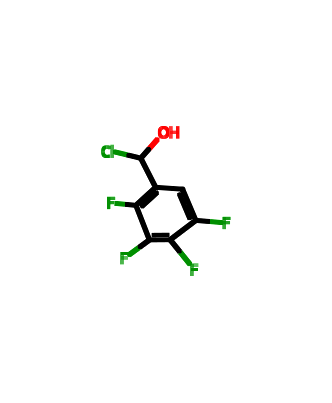 OC(Cl)c1cc(F)c(F)c(F)c1F